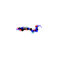 Cn1nc(C2CCC(=O)NC2=O)c2cccc(C#CCO[C@H]3CCN(C[C@H]4CC[C@H](n5cc(NC(=O)c6cnn7ccc(N8CCO[C@H](N)C8)nc67)c(C(F)F)n5)CC4)C[C@]3(C)F)c21